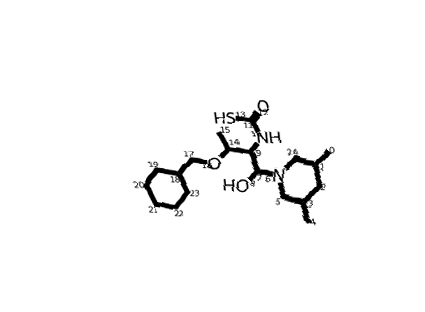 CC1CC(C)CN(C(O)C(NC(=O)S)C(C)OCC2CCCCC2)C1